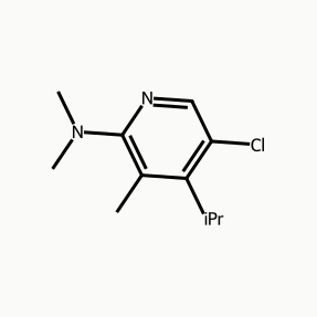 Cc1c(N(C)C)ncc(Cl)c1C(C)C